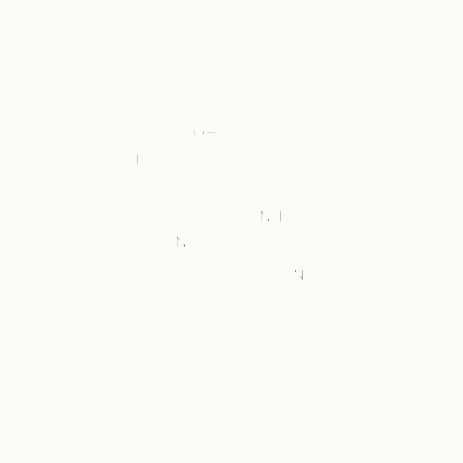 Nc1c2c(nc3cc(O)c(O)cc13)CCCC2C1CCCCN1C1CC1